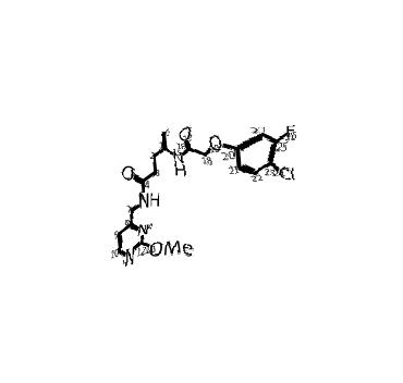 C=C(CCC(=O)NCc1ccnc(OC)n1)NC(=O)COc1ccc(Cl)c(F)c1